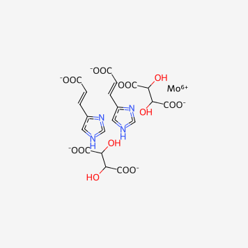 O=C([O-])C(O)C(O)C(=O)[O-].O=C([O-])C(O)C(O)C(=O)[O-].O=C([O-])C=Cc1c[nH]cn1.O=C([O-])C=Cc1c[nH]cn1.[Mo+6]